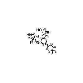 CC1(C)CCN(c2cc(C(C)(C)NC(=O)O)cc(O[C@@H]3[C@@H]4CNC[C@@H]43)n2)CC1